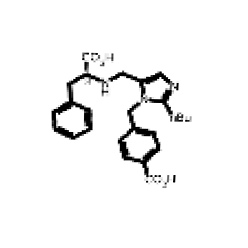 CCCCc1ncc(CN[C@@H](Cc2ccccc2)C(=O)O)n1Cc1ccc(C(=O)O)cc1